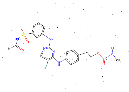 CCC(=O)NS(=O)(=O)c1cccc(Nc2ncc(F)c(Nc3ccc(CCOC(=O)N(C)C)cc3)n2)c1